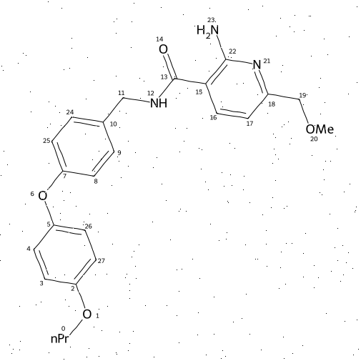 CCCOc1ccc(Oc2ccc(CNC(=O)c3ccc(COC)nc3N)cc2)cc1